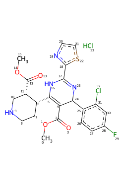 COC(=O)C1=C([C@@H]2CCNC[C@@H]2C(=O)OC)NC(c2nccs2)=NC1c1ccc(F)cc1Cl.Cl